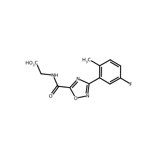 Cc1ccc(F)cc1-c1noc(C(=O)NCC(=O)O)n1